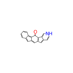 O=C1C2=c3ccccc3=CC2=Cc2cc3cc[nH]cc-3c21